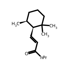 CCCC(=O)C=C[C@H]1[C@@H](C)CCCC1(C)C